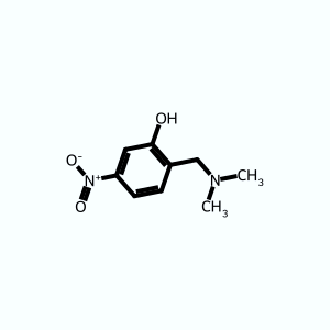 CN(C)Cc1ccc([N+](=O)[O-])cc1O